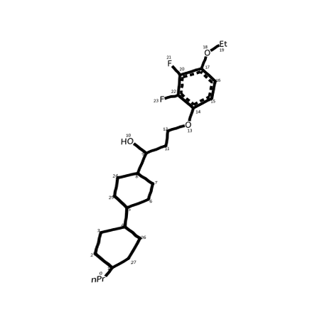 CCCC1CCC(C2CCC(C(O)CCOc3ccc(OCC)c(F)c3F)CC2)CC1